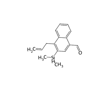 C=CCc1c([SiH](C)C)cc(C=O)c2ccccc12